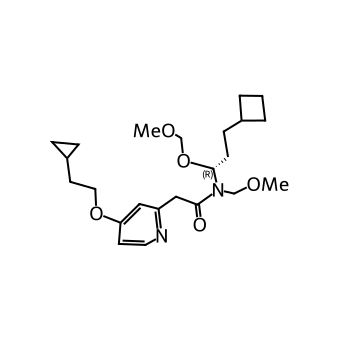 COCO[C@H](CCC1CCC1)N(COC)C(=O)Cc1cc(OCCC2CC2)ccn1